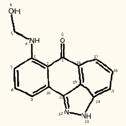 O=C1c2c(NCO)cccc2-c2n[nH]c3cccc1c23